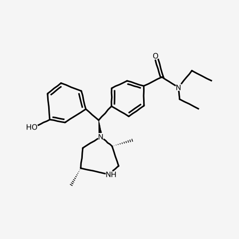 CCN(CC)C(=O)c1ccc([C@H](c2cccc(O)c2)N2C[C@@H](C)NC[C@H]2C)cc1